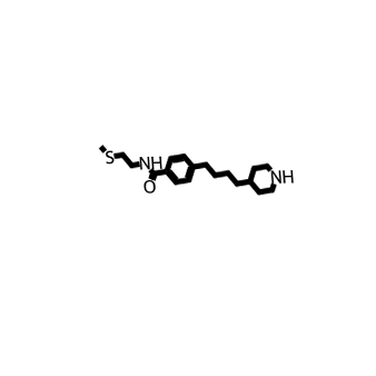 CSCCNC(=O)c1ccc(CCCCC2CCNCC2)cc1